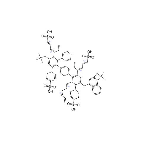 C=C/C=C\C=C\C1C(C2=CC=C(C3=C(C4C=CC(S(=O)(=O)O)=CC4)C=C(CC(C)(C)C)C(/C(C=C)=C/C=C/S(=O)(=O)O)C3C3=CCCC=C3)CC2)=C(/C(C=C)=C/C=C/S(=O)(=O)O)C=C(Cc2cc3c(c4ccccc24)C(C)(C)C3)C1C1C=CC(S(=O)(=O)O)=CC1